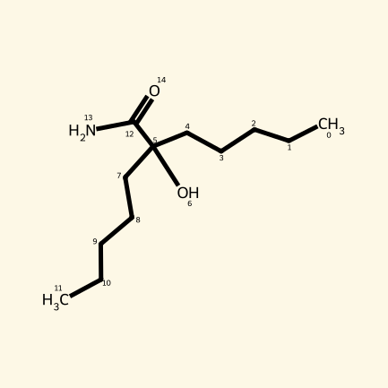 CCCCCC(O)(CCCCC)C(N)=O